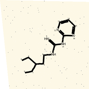 CCC(CC)CCNC(=N)Nc1ncccn1